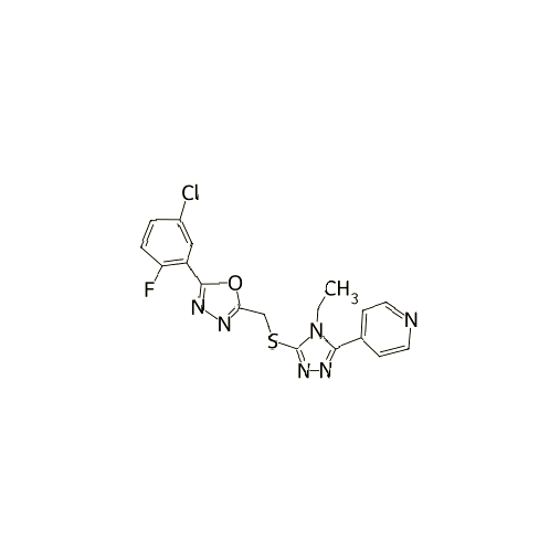 CCn1c(SCc2nnc(-c3cc(Cl)ccc3F)o2)nnc1-c1ccncc1